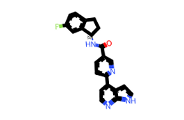 O=C(N[C@H]1CCc2ccc(F)cc21)c1ccc(-c2ccnc3[nH]ccc23)nc1